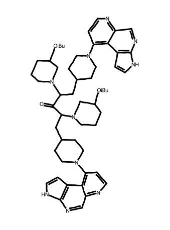 CC(C)COC1CCCN(C(CC2CCN(c3ccnc4cnc5[nH]ccc5c34)CC2)C(=O)C(CC2CCN(c3ccnc4cnc5[nH]ccc5c34)CC2)N2CCCC(OCC(C)C)C2)C1